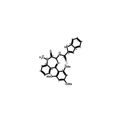 COc1cc(OC)c(C2=NC(NC(=O)c3cc4ccccc4[nH]3)C(=O)N(C)c3ccccc32)c(OC)c1